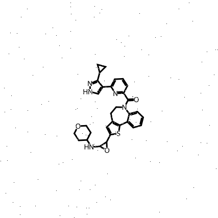 O=C(c1cccc(-c2c[nH]nc2C2CC2)n1)N1CCc2cc(C3OC3NC3CCOCC3)sc2-c2ccccc21